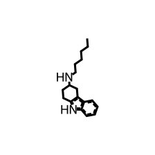 CCCCCCNC1CCc2[nH]c3ccccc3c2C1